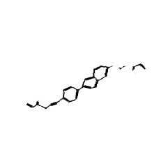 C=CC(=O)CC#Cc1ccc(-c2ccc3cc(OCOC(=O)C=C)ccc3c2)cc1